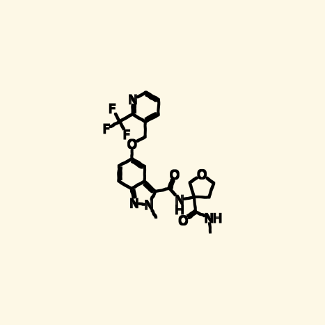 CNC(=O)C1(NC(=O)c2c3cc(OCc4cccnc4C(F)(F)F)ccc3nn2C)CCOC1